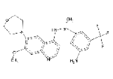 COc1cc2nccc(N[C@H](C)c3cc(N)cc(C(F)(F)F)c3)c2cc1N1CCOCC1